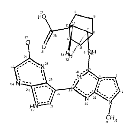 Cn1ccc2c(N[C@@H]3C4CCC(CC4)[C@H]3C(=O)O)nc(-c3c[nH]c4ncc(Cl)nc34)nc21